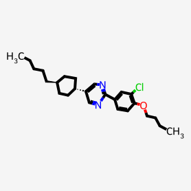 CCCCC[C@H]1CC[C@H](c2cnc(-c3ccc(OCCCC)c(Cl)c3)nc2)CC1